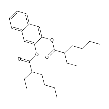 CCCCC(CC)C(=O)Oc1cc2ccccc2cc1OC(=O)C(CC)CCCC